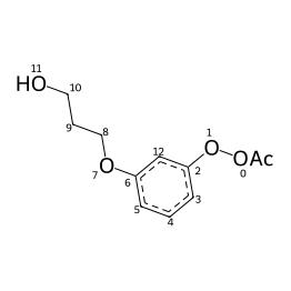 CC(=O)OOc1cccc(OCCCO)c1